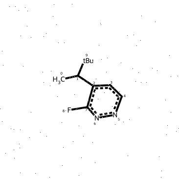 CC(c1ccnnc1F)C(C)(C)C